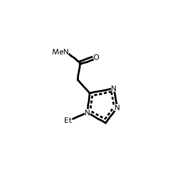 CCn1cnnc1CC(=O)NC